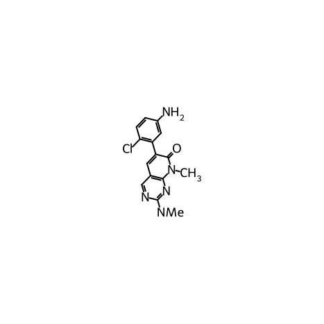 CNc1ncc2cc(-c3cc(N)ccc3Cl)c(=O)n(C)c2n1